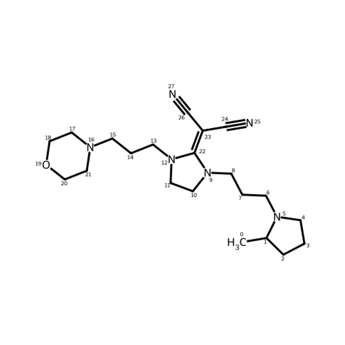 CC1CCCN1CCCN1CCN(CCCN2CCOCC2)C1=C(C#N)C#N